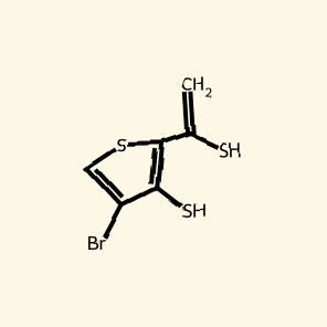 C=C(S)c1scc(Br)c1S